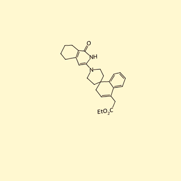 CCOC(=O)CC1=CCC2(CCN(c3cc4c(c(=O)[nH]3)CCCC4)CC2)c2ccccc21